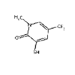 Cn1cc(C(F)(F)F)cc(S)c1=O